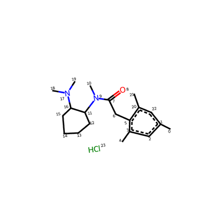 Cc1cc(C)c(CC(=O)N(C)C2CCCCC2N(C)C)c(C)c1.Cl